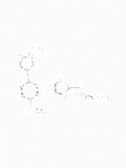 COc1ccc(-c2cnn(C)c2)cc1Sc1csc(CNC(=O)O)n1